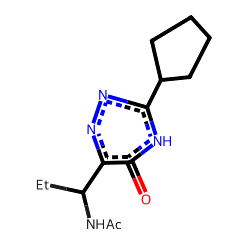 CCC(NC(C)=O)c1nnc(C2CCCC2)[nH]c1=O